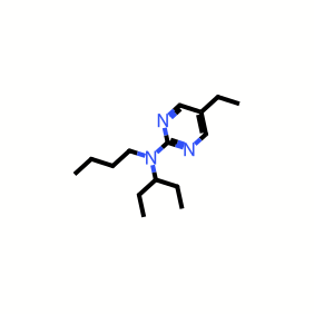 CCCCN(c1ncc(CC)cn1)C(CC)CC